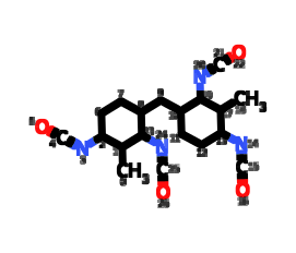 CC1C(N=C=O)CCC(CC2CCC(N=C=O)C(C)C2N=C=O)C1N=C=O